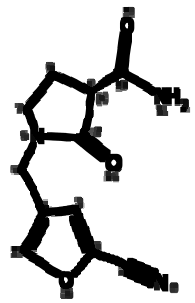 N#Cc1cc(CN2CC[C@@H](C(N)=O)C2=O)co1